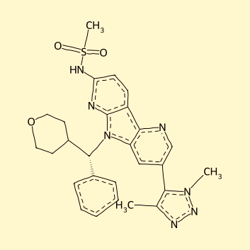 Cc1nnn(C)c1-c1cnc2c3ccc(NS(C)(=O)=O)nc3n([C@H](c3ccccc3)C3CCOCC3)c2c1